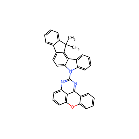 CC1(C)c2ccccc2-c2ccc3c(c21)c1ccccc1n3-c1nc2c3c(cccc3n1)Oc1ccccc1-2